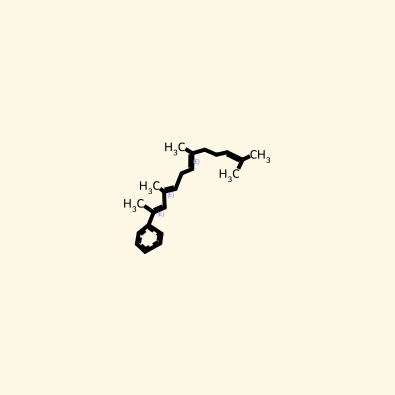 CC(C)=CCC/C(C)=C/C/C=C(C)/C=C(\C)c1ccccc1